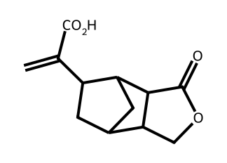 C=C(C(=O)O)C1CC2CC1C1C(=O)OCC21